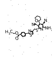 CCOC(=O)c1ccc(-c2nc(CSc3nc(N)c(C#N)c(C4CCCCO4)c3C#N)cs2)cc1